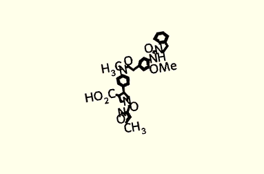 COc1cc(CC(=O)N(C)c2ccc(C3CN(C(=O)c4cc(C)on4)CC3C(=O)O)cc2)ccc1NC(=O)N1CCc2ccccc21